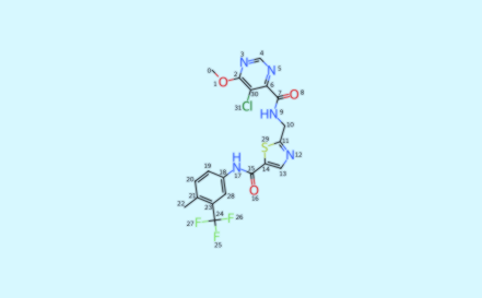 COc1ncnc(C(=O)NCc2ncc(C(=O)Nc3ccc(C)c(C(F)(F)F)c3)s2)c1Cl